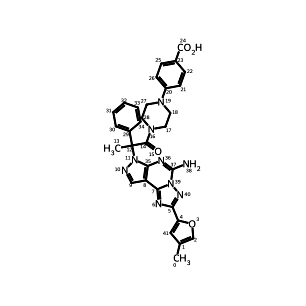 Cc1coc(-c2nc3c4cnn(C(C)(C(=O)N5CCN(c6ccc(C(=O)O)cc6)CC5)c5ccccc5)c4nc(N)n3n2)c1